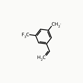 [CH2]c1cc(C=C)cc(C(F)(F)F)c1